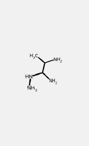 CC(N)C(N)NN